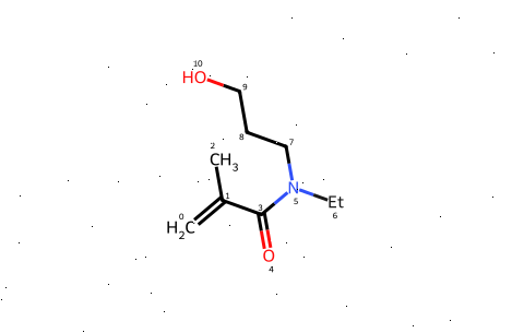 C=C(C)C(=O)N(CC)CCCO